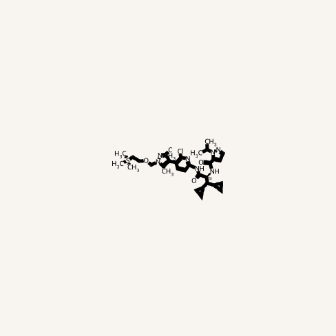 Cc1nn(COCCS(C)(C)C)c(C)c1-c1ccc(NC(=O)[C@@H](NC(=O)c2ccnn2C(C)C)C(C2CC2)C2CC2)nc1Cl